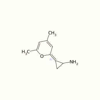 CC1=C/C(=C2/CC2N)OC(C)=C1